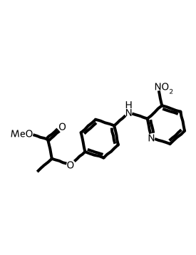 COC(=O)C(C)Oc1ccc(Nc2ncccc2[N+](=O)[O-])cc1